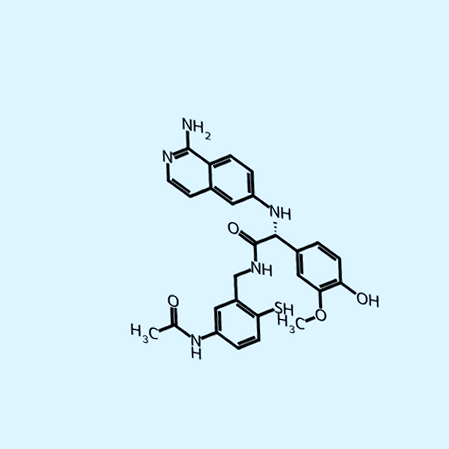 COc1cc([C@@H](Nc2ccc3c(N)nccc3c2)C(=O)NCc2cc(NC(C)=O)ccc2S)ccc1O